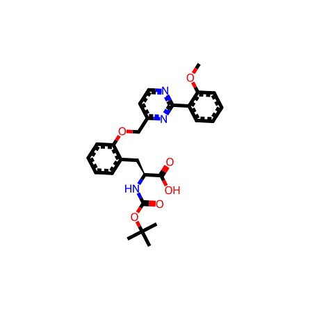 COc1ccccc1-c1nccc(COc2ccccc2C[C@H](NC(=O)OC(C)(C)C)C(=O)O)n1